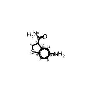 NC(=O)C1CSc2ccc(N)cc21